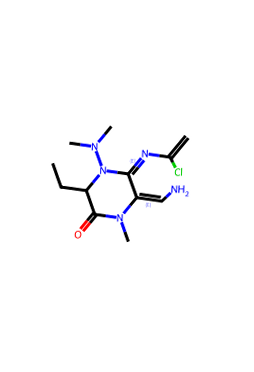 C=C(Cl)/N=C1\C(=C/N)N(C)C(=O)C(CC)N1N(C)C